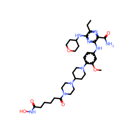 CCc1nc(C(N)=O)c(Nc2ccc(N3CCC(N4CCN(C(=O)CCCCC(=O)NO)CC4)CC3)c(OC)c2)nc1NC1CCOCC1